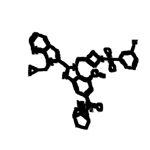 COc1cc(C(=O)N2CC3CCC2C3N)cc2nc(-c3cc4cccnc4n3CC3CC3)n(CC3CN(S(=O)(=O)c4cccc(F)c4)C3)c12